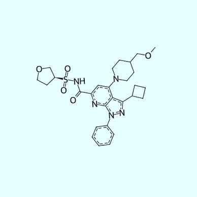 COCC1CCN(c2cc(C(=O)NS(=O)(=O)[C@H]3CCOC3)nc3c2c(C2CCC2)nn3-c2ccccc2)CC1